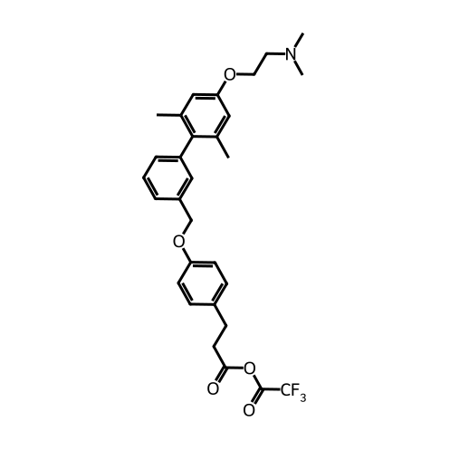 Cc1cc(OCCN(C)C)cc(C)c1-c1cccc(COc2ccc(CCC(=O)OC(=O)C(F)(F)F)cc2)c1